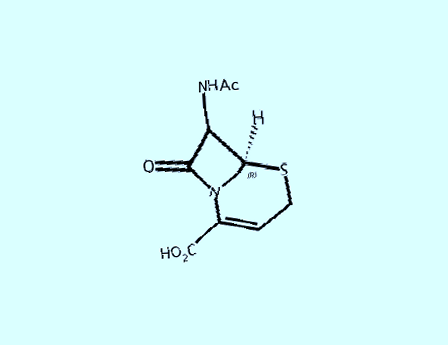 CC(=O)NC1C(=O)N2C(C(=O)O)=CCS[C@H]12